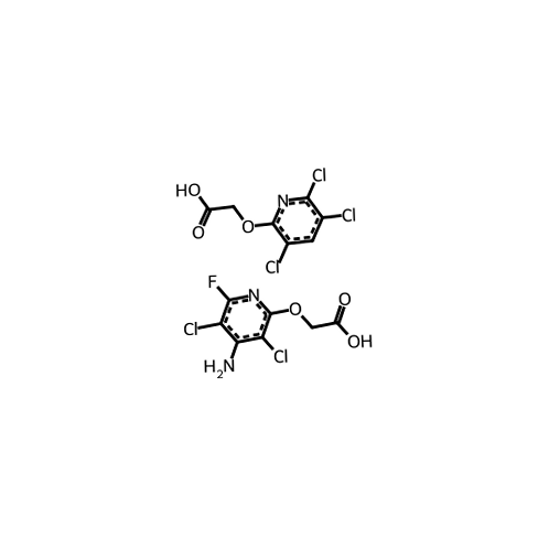 Nc1c(Cl)c(F)nc(OCC(=O)O)c1Cl.O=C(O)COc1nc(Cl)c(Cl)cc1Cl